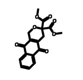 COC(=O)C1(C(=O)OC)CC2=C(CO1)C(=O)c1ccccc1C2=O